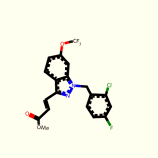 COC(=O)/C=C/c1nn(Cc2ccc(F)cc2Cl)c2cc(OC(F)(F)F)ccc12